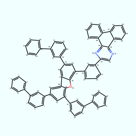 c1ccc(-c2cccc(-c3cc(-c4cccc(-c5ccccc5)c4)c4oc5c(-c6cccc(-c7cnc8c9ccccc9c9ccccc9c8n7)c6)cc(-c6cccc(-c7ccccc7)c6)cc5c4c3)c2)cc1